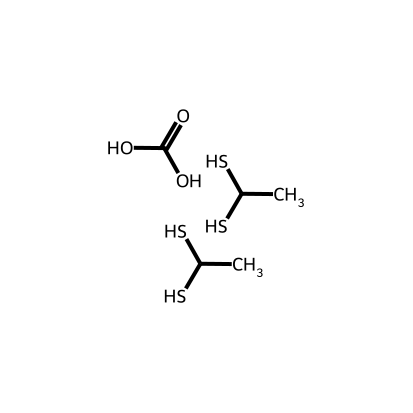 CC(S)S.CC(S)S.O=C(O)O